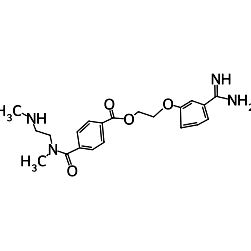 CNCCN(C)C(=O)c1ccc(C(=O)OCCOc2cccc(C(=N)N)c2)cc1